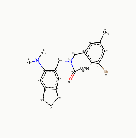 CCCCN(CC)c1cc2c(cc1CN(Cc1cc(Br)cc(C(F)(F)F)c1)C(=O)OC)CCC2